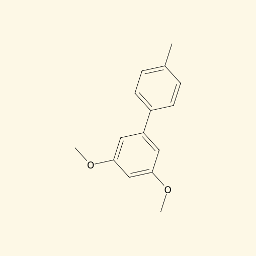 COc1cc(OC)cc(-c2ccc(C)cc2)c1